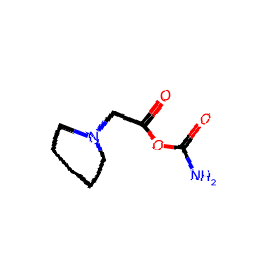 NC(=O)OC(=O)CN1CCCCC1